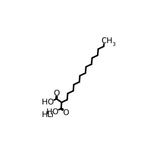 CCCCCCCCCCCCCCC(C(=O)O)C(=O)O.[LiH]